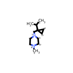 CC(C)C1(CN2CCN(C)CC2)CC1